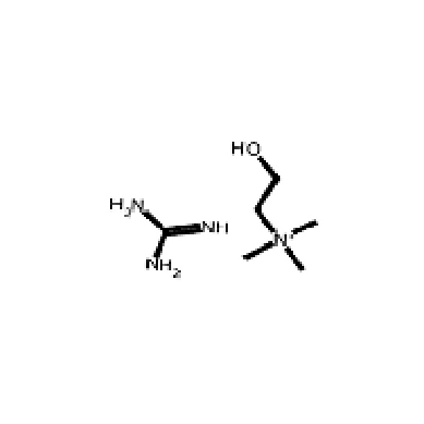 C[N+](C)(C)CCO.N=C(N)N